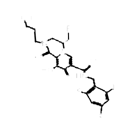 CCCCN1C[C@@H](CF)n2cc(C(=O)NCc3c(F)cc(F)cc3F)c(=O)c(O)c2C1=O